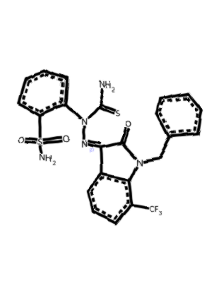 NC(=S)N(/N=C1\C(=O)N(Cc2ccccc2)c2c1cccc2C(F)(F)F)c1ccccc1S(N)(=O)=O